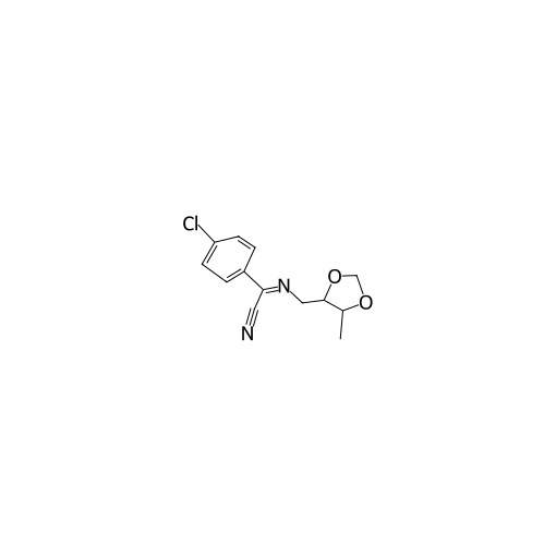 CC1OCOC1CN=C(C#N)c1ccc(Cl)cc1